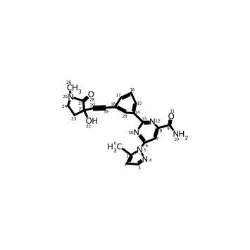 Cc1ccnn1-c1cc(C(N)=O)nc(-c2cccc(C#CC3(O)CCN(C)C3=O)c2)n1